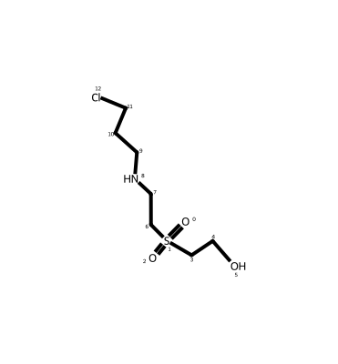 O=S(=O)(CCO)CCNCCCCl